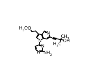 COCCc1cn(-c2ccnc(N)n2)c2cc(C#CC(C)(C)O)ncc12